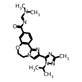 Cc1nc(-c2cn3c(n2)-c2ccc(C(=O)/N=C/N(C)C)cc2OCC3)n(C(C)C)n1